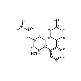 CCN(C)C(=O)CN1CCN(c2ccccc2C2CCC(C(C)(C)C)CC2)CC1.Cl